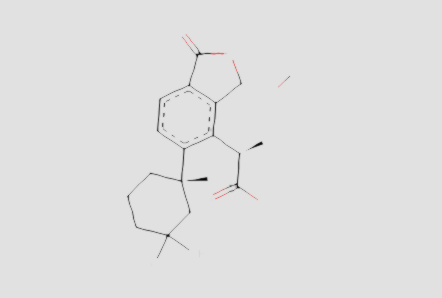 CO[C@H]1OC(=O)c2ccc([C@@]3(C)CCCC(C)(C)C3)c([C@@H](C)C(=O)O)c21